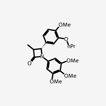 CCCOc1cc([C@H]2C(C)C(=O)N2c2cc(OC)c(OC)c(OC)c2)ccc1OC